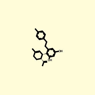 C=C(C)[C@@H]1CCC(C)=C[C@@H]1c1c(O)cc(O)cc1CCc1ccc(C)cc1